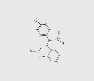 CCN1Cc2ccccc2C(Oc2ccc(C(F)(F)F)cc2)C1.CCNCC